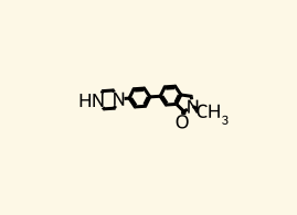 CN1Cc2ccc(-c3ccc(N4CCNCC4)cc3)cc2C1=O